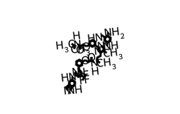 Cc1c(CCC(C)NC(=O)COc2cccc(-c3nc(Nc4ccc5[nH]ncc5c4)cc(C(F)(F)F)n3)c2)nc(-c2cccc(OCC(=O)NC(C)C)c2)nc1Nc1ccc(N)c(C=N)c1